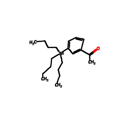 CCC[CH2][Sn]([CH2]CCC)([CH2]CCC)[c]1cccc(C(C)=O)c1